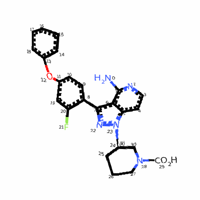 Nc1nccc2c1c(-c1ccc(Oc3ccccc3)cc1F)nn2[C@@H]1CCCN(C(=O)O)C1